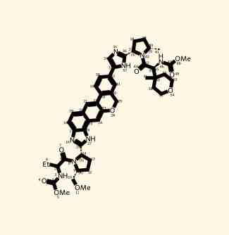 CCC(NC(=O)OC)C(=O)N1[C@@H](COC)CC[C@H]1c1nc2ccc3cc4c(cc3c2[nH]1)OCc1cc(-c2cnc([C@@H]3CC[C@H](C)N3C(=O)[C@@H](NC(=O)OC)C3(C)CCOCC3)[nH]2)ccc1-4